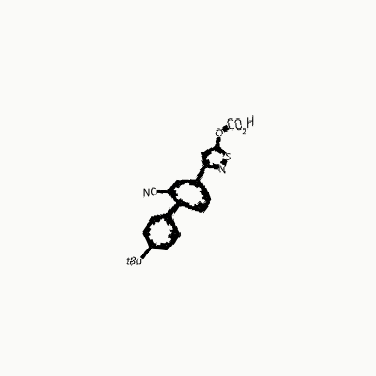 CC(C)(C)c1ccc(-c2ccc(-c3cc(OC(=O)O)sn3)cc2C#N)cc1